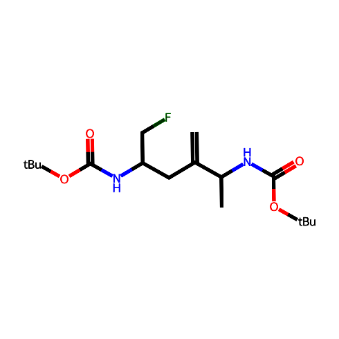 C=C(CC(CF)NC(=O)OC(C)(C)C)C(C)NC(=O)OC(C)(C)C